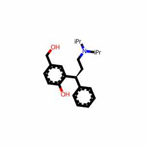 CC(C)N(CC[C@@H](c1ccccc1)c1cc(CO)ccc1O)C(C)C